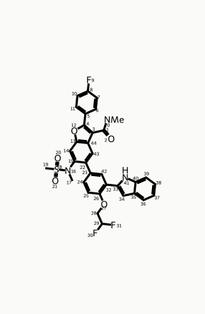 CNC(=O)c1c(-c2ccc(F)cc2)oc2cc(N(C)S(C)(=O)=O)c(-c3ccc(OCC(F)F)c(-c4cc5ccccc5[nH]4)c3)cc12